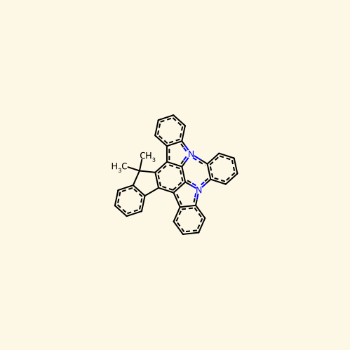 CC1(C)c2ccccc2-c2c1c1c3ccccc3n3c4ccccc4n4c5ccccc5c2c4c13